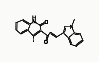 Cc1c(C(=O)/C=C/c2cn(C)c3ccccc23)c(=O)[nH]c2ccccc12